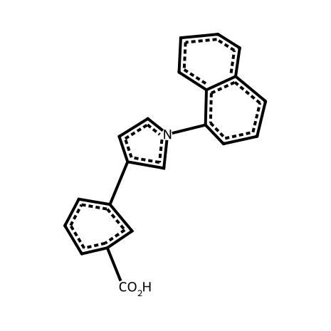 O=C(O)c1cccc(-c2ccn(-c3cccc4ccccc34)c2)c1